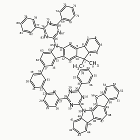 CC1(C)c2ccccc2-c2cc3c(cc21)c1cc(-c2cccc(-c4cccc(-c5nc(-c6ccccc6)nc(-n6c7ccccc7c7ccc8c9ccccc9sc8c76)n5)c4)c2)ccc1n3-c1nc(-c2ccccc2)nc(-c2ccccc2)n1